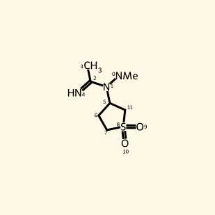 CNN(C(C)=N)C1CCS(=O)(=O)C1